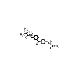 CC(=O)NCCN1CCN(C(=O)c2cccc(CNC(=O)C(C)(C)C)c2)CC1